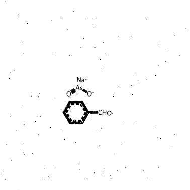 O=[As][O-].O=[C]c1ccccc1.[Na+]